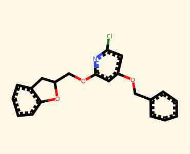 Clc1cc(OCc2ccccc2)cc(OCC2Cc3ccccc3O2)n1